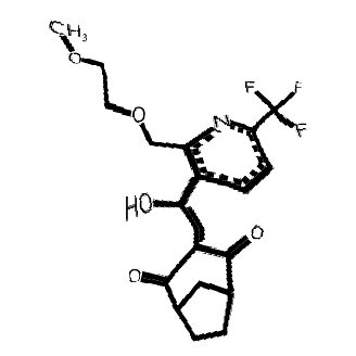 COCCOCc1nc(C(F)(F)F)ccc1C(O)=C1C(=O)C2CCC(C2)C1=O